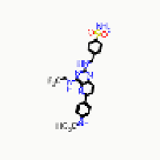 NS(=O)(=O)c1ccc(CNc2nc(NCC(F)(F)F)c3nc(-c4ccc(NC(=O)O)cc4)ccc3n2)cc1